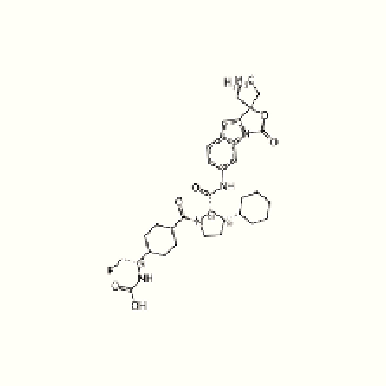 CCC1(CC)OC(=O)n2c1cc1ccc(NC(=O)[C@@H]3[C@H](C4CCCCC4)CCN3C(=O)C3CCC([C@@H](CF)NC(=O)O)CC3)cc12